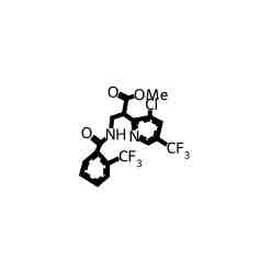 COC(=O)C(CNC(=O)c1ccccc1C(F)(F)F)c1ncc(C(F)(F)F)cc1Cl